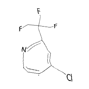 FC(F)(F)c1cc(Cl)[c]cn1